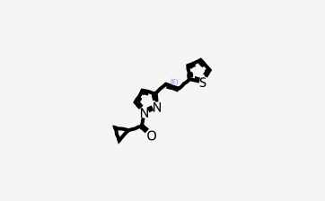 O=C(C1CC1)n1ccc(/C=C/c2cccs2)n1